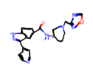 O=C(N[C@@H]1CCCN(Cc2ncon2)C1)c1ccc2[nH]nc(-c3ccncc3)c2c1